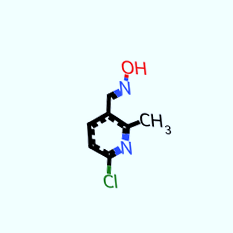 Cc1nc(Cl)ccc1C=NO